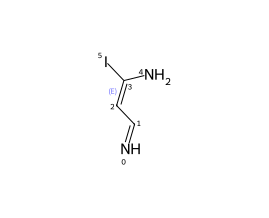 N=C/C=C(\N)I